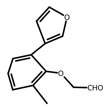 Cc1cccc(-c2ccoc2)c1OCC=O